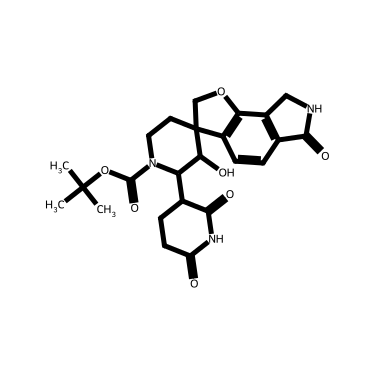 CC(C)(C)OC(=O)N1CCC2(COc3c2ccc2c3CNC2=O)C(O)C1C1CCC(=O)NC1=O